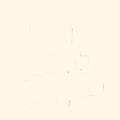 CCCCCCOC(=O)C=Cc1ccccc1.CCCCCCOC(=O)c1ccccc1O.O=C1CCCCCCCCCCCCCCCO1